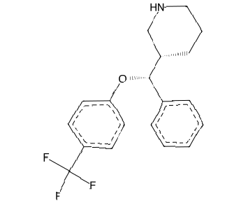 FC(F)(F)c1ccc(O[C@@H](c2ccccc2)[C@H]2CCCNC2)cc1